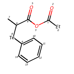 CCC(=O)OC(=O)C(C)[Te]c1ccccc1